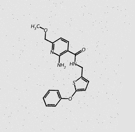 COCc1ccc(C(=O)NCc2ccc(Oc3ccccc3)s2)c(N)n1